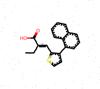 CC/C(=C\c1sccc1-c1cccc2ccccc12)C(=O)O